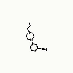 CCCN1CCN(c2cccc(C#N)c2)CC1